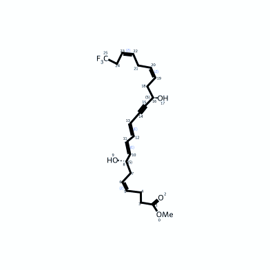 COC(=O)CC/C=C\C[C@H](O)/C=C/C=C/C#C[C@@H](O)C/C=C\C/C=C\CC(F)(F)F